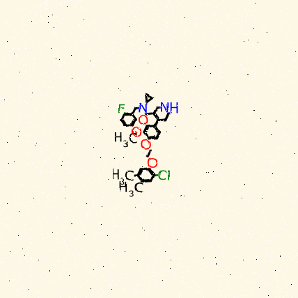 COc1ccc(F)c(CN(C(=O)C2=C(c3ccc(OCCOc4cc(C)c(C)cc4Cl)cc3)CCNC2)C2CC2)c1